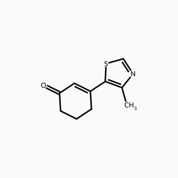 Cc1ncsc1C1=CC(=O)CCC1